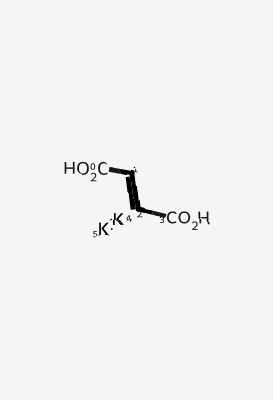 O=C(O)C=CC(=O)O.[K].[K]